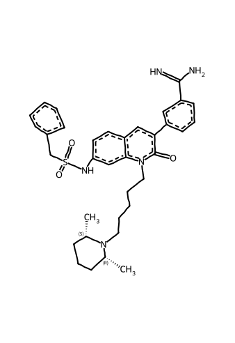 C[C@@H]1CCC[C@H](C)N1CCCCCn1c(=O)c(-c2cccc(C(=N)N)c2)cc2ccc(NS(=O)(=O)Cc3ccccc3)cc21